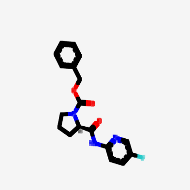 O=C(Nc1ccc(F)cn1)[C@H]1CCCN1C(=O)OCc1ccccc1